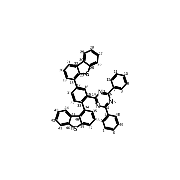 c1ccc(-c2nc(-c3ccccc3)nc(-c3cc(-c4cccc5c4sc4ccccc45)ccc3-c3cccc4sc5ccccc5c34)n2)cc1